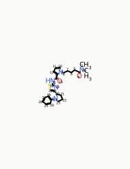 CN(C)C(=O)CCCCn1cccc1C(=O)Nc1nc([C@H]2CCCN2c2ccccc2)cs1